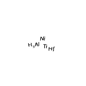 [AlH3].[Hf].[Ni].[Ti]